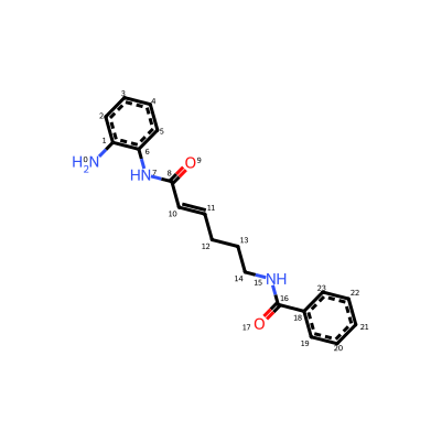 Nc1ccccc1NC(=O)C=CCCCNC(=O)c1ccccc1